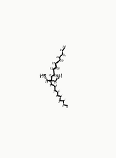 CCCCCCCCCCC(CS)(CS)CCCCCCCCCC